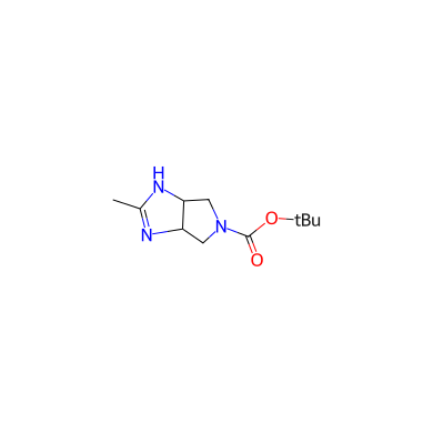 CC1=NC2CN(C(=O)OC(C)(C)C)CC2N1